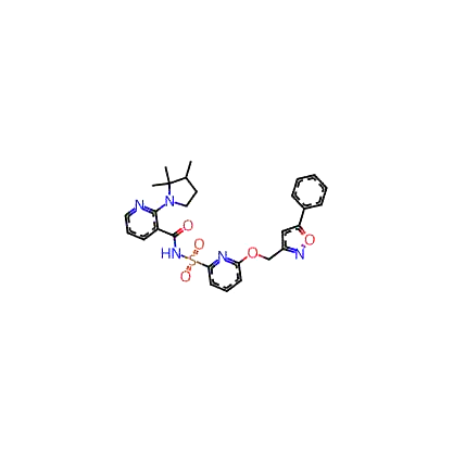 CC1CCN(c2ncccc2C(=O)NS(=O)(=O)c2cccc(OCc3cc(-c4ccccc4)on3)n2)C1(C)C